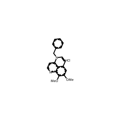 COc1cc2c3c(ccnc3c1OC)N(Cc1ccccc1)C=C2.Cl